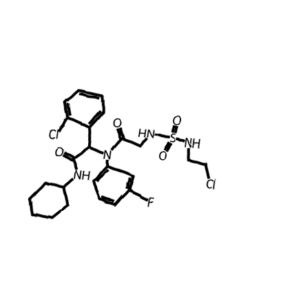 O=C(NC1CCCCC1)C(c1ccccc1Cl)N(C(=O)CNS(=O)(=O)NCCCl)c1cccc(F)c1